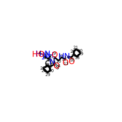 C[C@@](CN)(CNO)N(C(=O)CCC(=O)NC(=O)c1ccccc1)C(=O)c1ccccc1